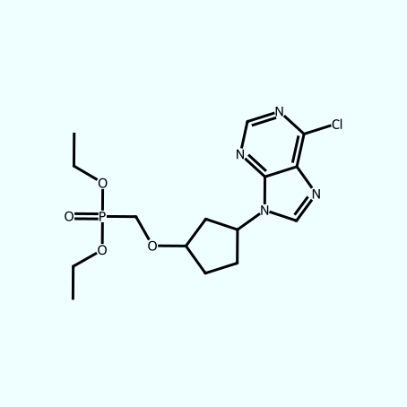 CCOP(=O)(COC1CCC(n2cnc3c(Cl)ncnc32)C1)OCC